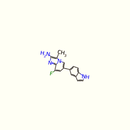 Cc1c(N)nc2c(F)cc(-c3ccc4[nH]ccc4c3)cn12